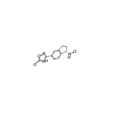 O=c1[nH]c(-c2ccc3c(c2)CC[C@@H]3NCl)no1